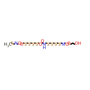 CSC/N=C/OOCSCSCSCSCOC(=O)NCSCSCSCSC/N=C/OOCCCO